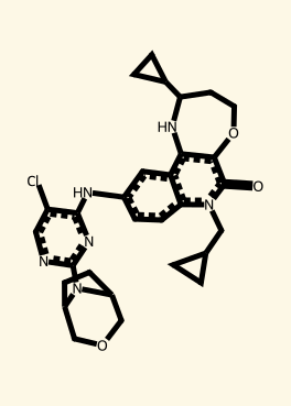 O=c1c2c(c3cc(Nc4nc(N5C6CCC5COC6)ncc4Cl)ccc3n1CC1CC1)NC(C1CC1)CCO2